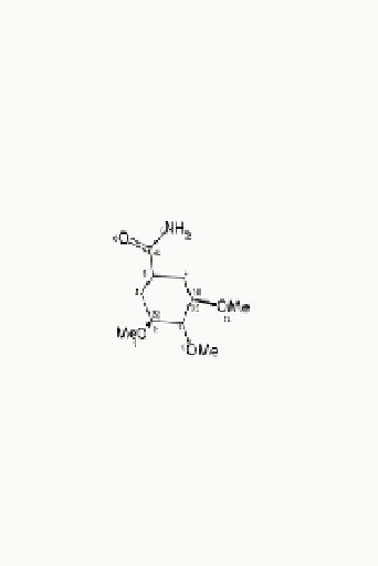 COC1[C@@H](OC)CC(C(N)=O)C[C@H]1OC